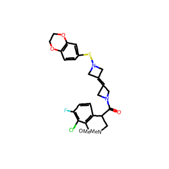 CNCC(C(=O)N1CC(=C2CN(Sc3ccc4c(c3)OCCO4)C2)C1)c1ccc(F)c(Cl)c1OC